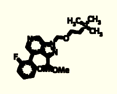 COC(=O)c1nn(COCC[Si](C)(C)C)c2cncc(-c3c(F)cccc3OC)c12